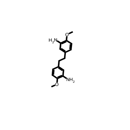 COc1ccc(CCc2ccc(OC)c(N)c2)cc1N